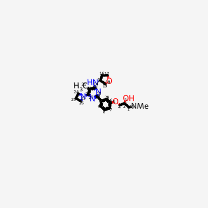 CNCC(O)COc1cccc(-c2nc(N[C@@H]3CCOC3)c(C)c(N3CCC3)n2)c1